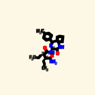 Cc1ccc(C2=N[C@H](NC(=O)[C@@H](CCC(F)(F)F)[C@@H](CCC(F)(F)F)C(N)=O)C(=O)Nc3ccccc32)cc1